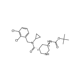 CC(C)(C)OC(=O)N[C@H]1CNC[C@H](C(=O)N(Cc2cccc(Cl)c2Cl)C2CC2)C1